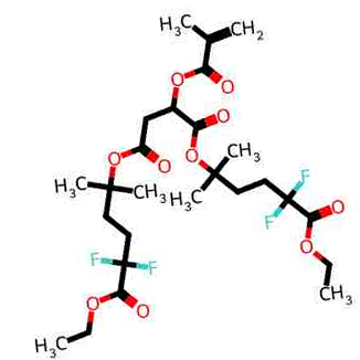 C=C(C)C(=O)OC(CC(=O)OC(C)(C)CCC(F)(F)C(=O)OCC)C(=O)OC(C)(C)CCC(F)(F)C(=O)OCC